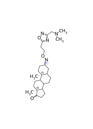 CN(C)Cc1noc(CCO/N=C2\CC[C@@]3(C)C(CCC4C3CC[C@]3(C)C(=O)CCC43)C2)n1